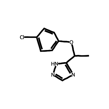 CC(Oc1ccc(Cl)cc1)c1ncn[nH]1